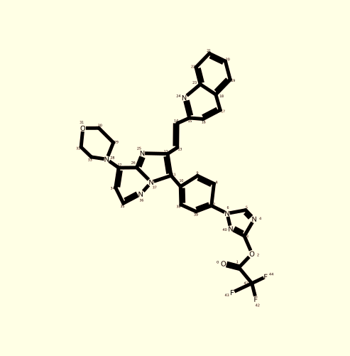 O=C(Oc1ncn(-c2ccc(-c3c(/C=C/c4ccc5ccccc5n4)nc4c(N5CCOCC5)ccnn34)cc2)n1)C(F)(F)F